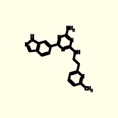 Cc1cccc(CCNc2nc(N)nc(-c3ccc4cn[nH]c4c3)n2)n1